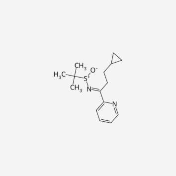 CC(C)(C)[S+]([O-])N=C(CCC1CC1)c1ccccn1